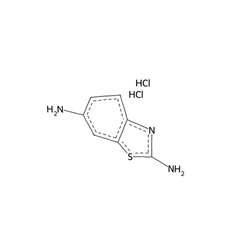 Cl.Cl.Nc1ccc2nc(N)sc2c1